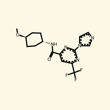 CO[C@H]1CC[C@H](NC(=O)c2cc(C(F)(F)F)nc(-n3ccnc3)n2)CC1